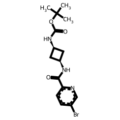 CC(C)(C)OC(=O)N[C@H]1C[C@@H](NC(=O)c2ccc(Br)cn2)C1